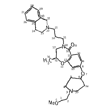 COCCN1CCC(Oc2ccc3c(c2)OC(C)CN(CCCN2CCc4ccccc4C2)C3=O)CC1